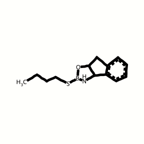 CCCCSB1NC2c3ccccc3CC2O1